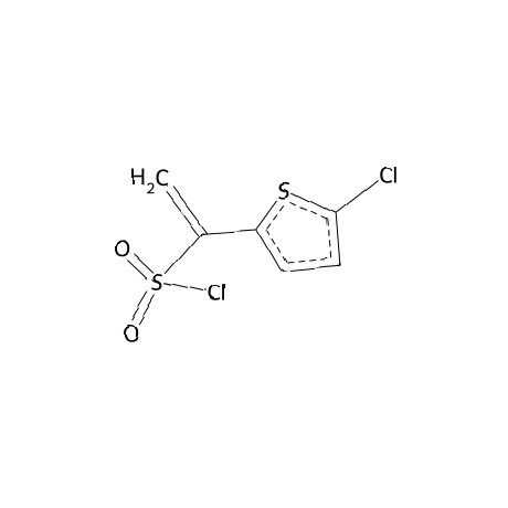 C=C(c1ccc(Cl)s1)S(=O)(=O)Cl